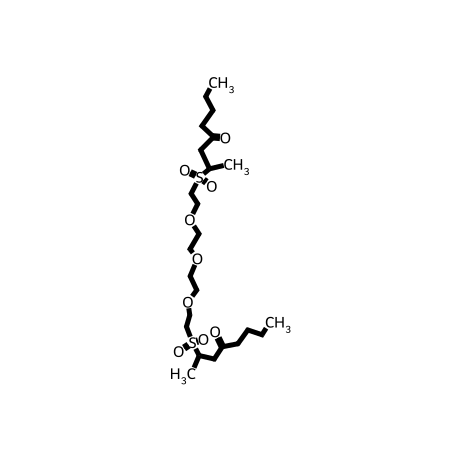 CCCCC(=O)CC(C)S(=O)(=O)CCOCCOCCOCCS(=O)(=O)C(C)CC(=O)CCCC